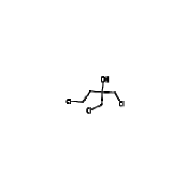 OC(CCl)(CCl)CCCl